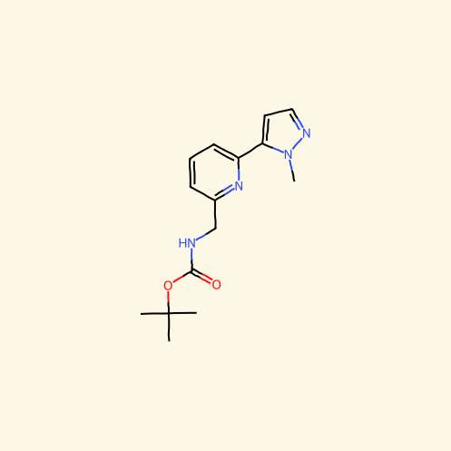 Cn1nccc1-c1cccc(CNC(=O)OC(C)(C)C)n1